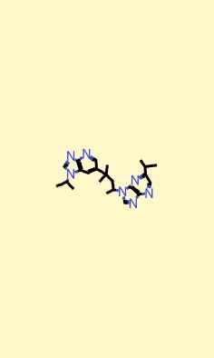 CC(C)c1cnc2ncn(C(C)CC(C)(C)c3cnc4ncn(C(C)C)c4c3)c2n1